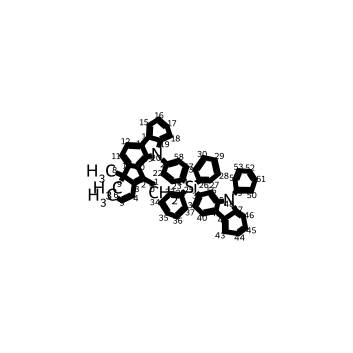 C=CC1=C(/C=C\C)C(C)(C)c2ccc3c4ccccc4n(-c4ccc([Si](c5ccccc5)(c5ccccc5)c5ccc6c7ccccc7n(-c7ccccc7)c6c5)cc4)c3c21